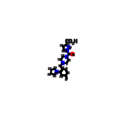 Cc1ccc(CN2CCN(C(=O)n3ccc(C(=O)O)n3)CC2)c(N2CCCC2)c1